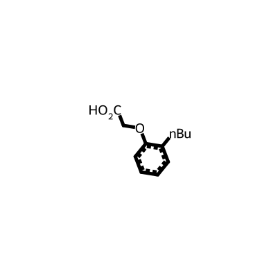 CCCCc1ccccc1OCC(=O)O